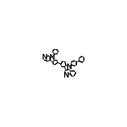 c1ccc(-c2ccc(-n3c4ccc(-c5ccc6c7ccncc7n(-c7ccccc7)c6c5)cc4c4cnc5ccccc5c43)cc2)cc1